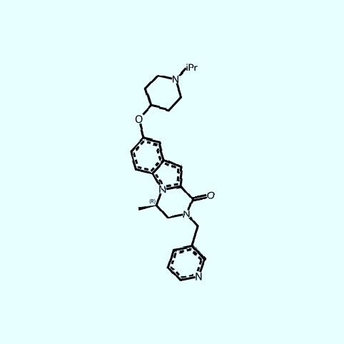 CC(C)N1CCC(Oc2ccc3c(c2)cc2n3[C@H](C)CN(Cc3cccnc3)C2=O)CC1